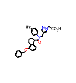 CC(C)c1ccc(N(Cc2cnn(CC(=O)O)c2)C(=O)C2CCCc3c(OCc4ccccc4)cccc32)cc1